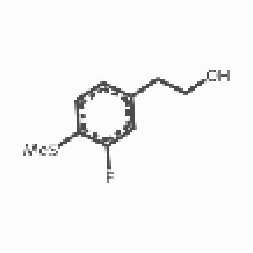 CSc1ccc(CCO)cc1F